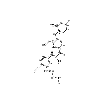 C#Cc1cnc(NC(O)N(C)c2ccc(CN3CCN(C)CC3=O)c(C=O)n2)cc1NCCOC